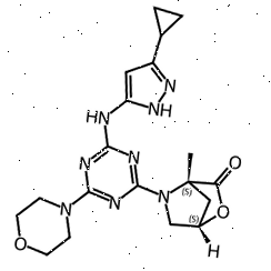 C[C@@]12C[C@@H](CN1c1nc(Nc3cc(C4CC4)n[nH]3)nc(N3CCOCC3)n1)OC2=O